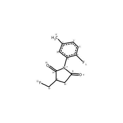 Cc1ccc(F)c(N2C(=O)CC(CF)C2=O)c1